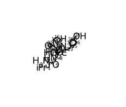 CC(C)C[C@H](N)C(=O)N[C@@H](C)C(=O)NCC1(N2CCC[C@H]2C(=O)N[C@@H](Cc2ccc(O)cc2)C(=O)O)COC1